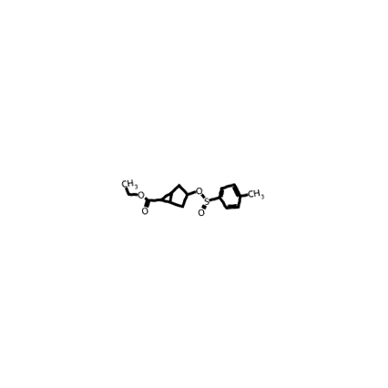 CCOC(=O)C1C2CC(OS(=O)c3ccc(C)cc3)CC21